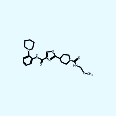 COCNC(=S)N1CCC(c2nc(C(=O)Nc3ccccc3N3CCCCC3)cs2)CC1